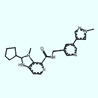 CN1c2c(ccnc2C(=O)NCc2cncc(-c3cnn(C)c3)c2)NC1C1CCCC1